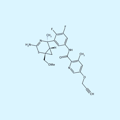 C#CCOc1cnc(C(=O)Nc2cc(F)c(F)c([C@]3(C)N=C(N)S[C@@]4(COC)C[C@H]43)c2)c(C)c1